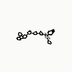 c1ccc(-c2nc(-c3ccccc3)nc(-c3ccc(-c4ccc(-c5cccc(-c6ccc7c(c6)C6(CCCCC6)c6ccccc6-7)c5)cc4)cc3)n2)cc1